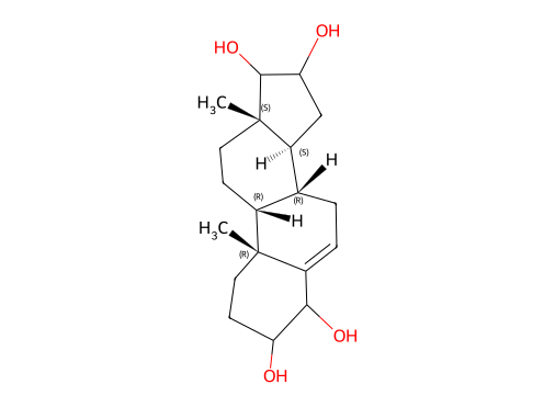 C[C@]12CCC(O)C(O)C1=CC[C@@H]1[C@H]2CC[C@]2(C)C(O)C(O)C[C@@H]12